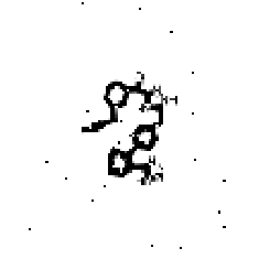 CC#CCC1CCCC(C(=O)c2n[nH]c(Cc3ccc(-c4ccccc4-c4nnn[nH]4)cc3)n2)C1